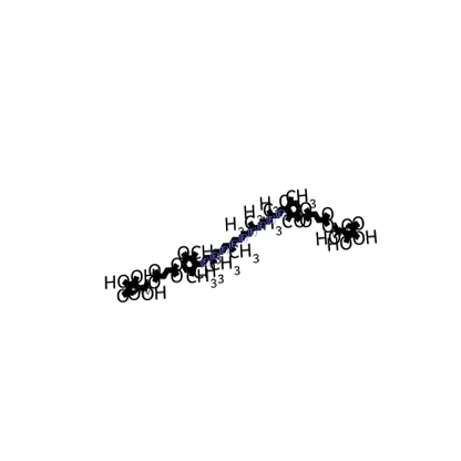 CC1=C(/C=C/C(C)=C/C=C/C(C)=C/C=C/C=C(C)/C=C/C=C(C)/C=C/C2=C(C)C(=O)C(OC(=O)CCC(=O)OC[C@H](O)[C@H]3OC(=O)C(O)=C3O)CC2(C)C)C(C)(C)CC(OC(=O)CCC(=O)OC[C@H](O)[C@H]2OC(=O)C(O)=C2O)C1=O